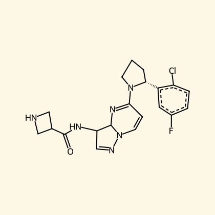 O=C(NC1C=NN2C=CC(N3CCC[C@@H]3c3cc(F)ccc3Cl)=NC12)C1CNC1